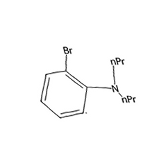 CCCN(CCC)c1[c]cccc1Br